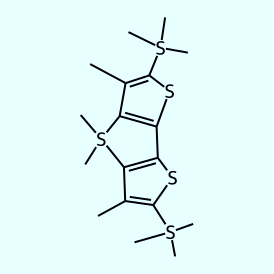 Cc1c(S(C)(C)C)sc2c1S(C)(C)c1c-2sc(S(C)(C)C)c1C